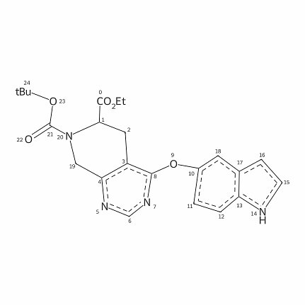 CCOC(=O)C1Cc2c(ncnc2Oc2ccc3[nH]ccc3c2)CN1C(=O)OC(C)(C)C